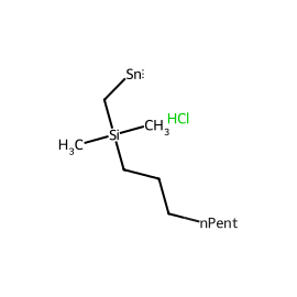 CCCCCCCC[Si](C)(C)[CH2][Sn].Cl